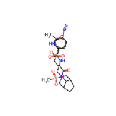 CC(=O)NCC(=O)NCC(=O)N(C1C2CCC1CN(CCCS(=O)(=O)c1ccc(C#N)cc1)C2)S(C)(=O)=O